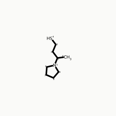 CC(CCS)N1CCCC1